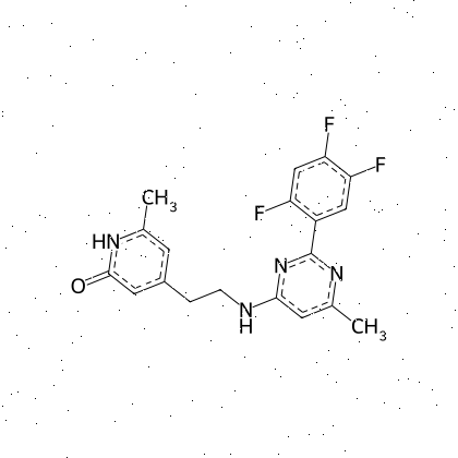 Cc1cc(NCCc2cc(C)[nH]c(=O)c2)nc(-c2cc(F)c(F)cc2F)n1